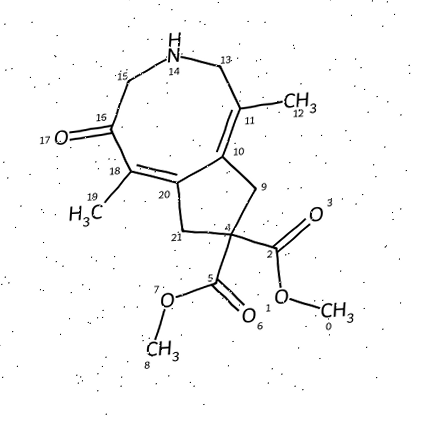 COC(=O)C1(C(=O)OC)CC2=C(C)CNCC(=O)C(C)=C2C1